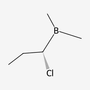 CC[C@@H](Cl)B(C)C